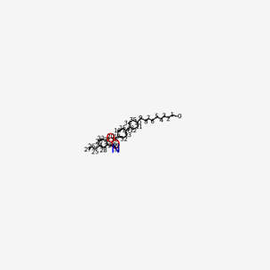 CCCCCCCCCCC1CCC(c2ccc(C(=O)Oc3ccc(CCC)cc3C#N)cc2)CC1